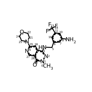 Cn1nc(NCc2cc(N)cc(C(F)(F)F)c2)c2cc(N3CCOCC3)ncc2c1=O